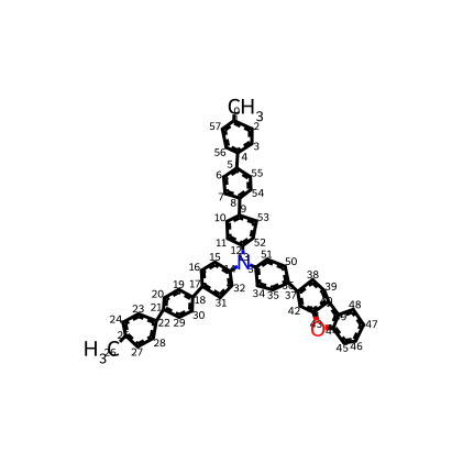 Cc1ccc(-c2ccc(-c3ccc(N(c4ccc(-c5ccc(-c6ccc(C)cc6)cc5)cc4)c4ccc(-c5ccc6c(c5)oc5ccccc56)cc4)cc3)cc2)cc1